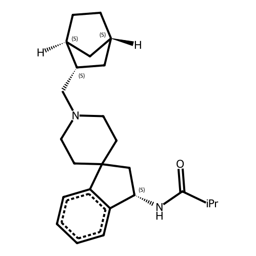 CC(C)C(=O)N[C@H]1CC2(CCN(C[C@H]3C[C@H]4CC[C@H]3C4)CC2)c2ccccc21